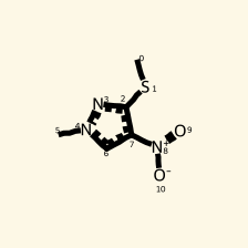 CSc1nn(C)cc1[N+](=O)[O-]